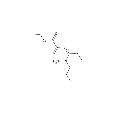 C=C(/C=C(/CC)N(N)CCC)C(=O)OCC